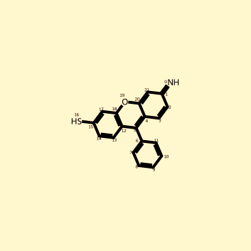 N=c1ccc2c(-c3ccccc3)c3ccc(S)cc3oc-2c1